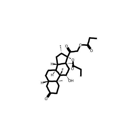 CCC(=O)OCC(=O)[C@]1(OC(=O)CC)[C@@H](C)C[C@H]2[C@@H]3CC[C@H]4CC(=O)CC[C@]4(C)[C@@]3(F)[C@@H](O)C[C@@]21C